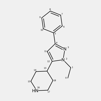 CCn1nc(-c2ccccc2)cc1C1CCNCC1